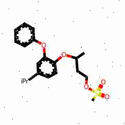 CC(CCOS(C)(=O)=O)Oc1ccc(C(C)C)cc1Oc1ccccc1